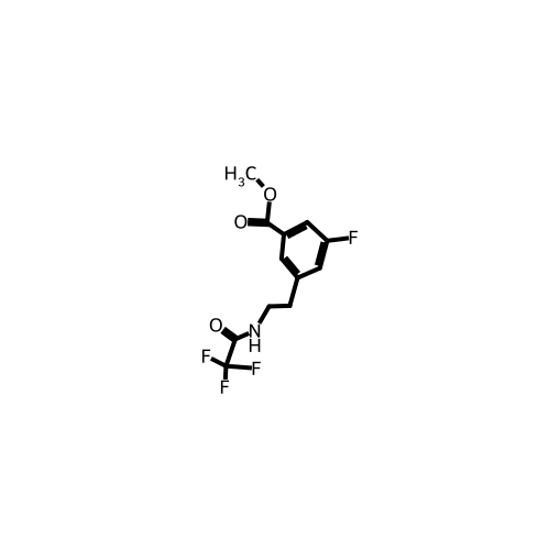 COC(=O)c1cc(F)cc(CCNC(=O)C(F)(F)F)c1